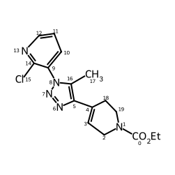 CCOC(=O)N1CC=C(c2nnn(-c3cccnc3Cl)c2C)CC1